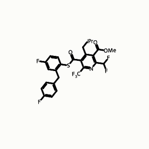 COC(=O)c1c(C(F)F)nc(C(F)(F)F)c(C(=O)Sc2ccc(F)cc2Cc2ccc(F)cc2)c1CC(C)C